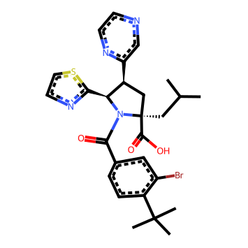 CC(C)C[C@@]1(C(=O)O)C[C@H](c2cnccn2)[C@H](c2nccs2)N1C(=O)c1ccc(C(C)(C)C)c(Br)c1